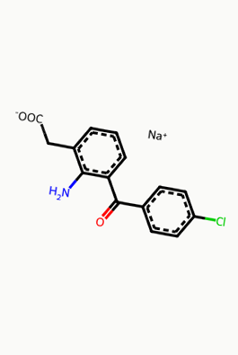 Nc1c(CC(=O)[O-])cccc1C(=O)c1ccc(Cl)cc1.[Na+]